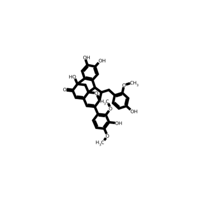 COc1cc(O)ccc1CC1C2OC34CC(O)(C(=O)C=C3C=C2c2ccc(OC)c(O)c2OC)c2cc(O)c(O)cc2C14